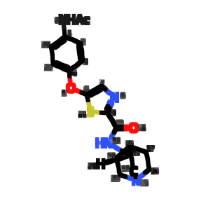 CC(=O)Nc1ccc(Oc2cnc(C(=O)N[C@H]3CN4CCC3CC4)s2)cc1